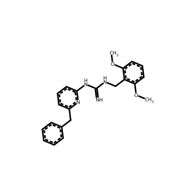 COc1cccc(OC)c1CNC(=N)Nc1cccc(Cc2ccccc2)n1